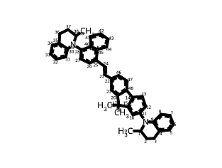 CC1CCc2ccccc2N1c1ccc2c(c1)C(C)(C)c1cc(/C=C/c3ccc(N4c5ccccc5CCC4C)c4ccccc34)ccc1-2